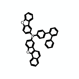 c1ccc(-c2ccccc2-c2ccc(N(c3ccc4oc5ccccc5c4c3)c3ccc4oc5c6ccccc6ccc5c4c3)cc2)cc1